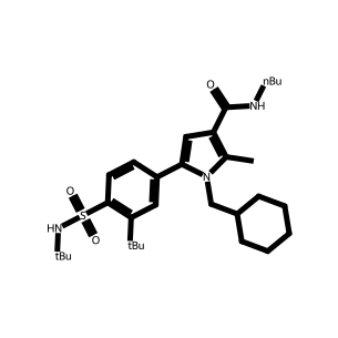 CCCCNC(=O)c1cc(-c2ccc(S(=O)(=O)NC(C)(C)C)c(C(C)(C)C)c2)n(CC2CCCCC2)c1C